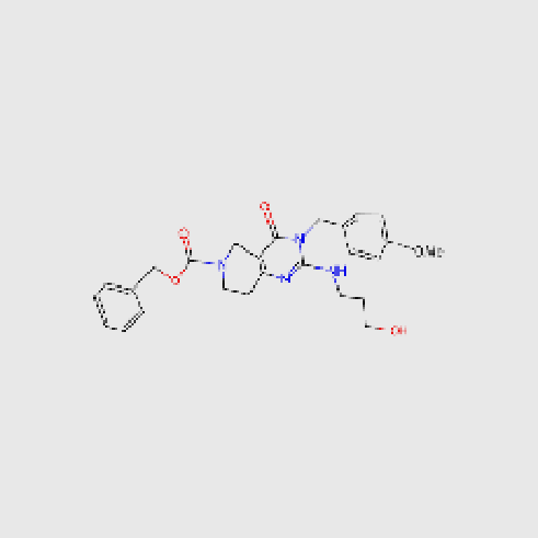 COc1ccc(Cn2c(NCCCO)nc3c(c2=O)CN(C(=O)OCc2ccccc2)CC3)cc1